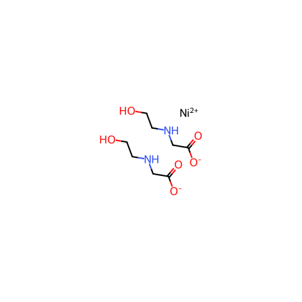 O=C([O-])CNCCO.O=C([O-])CNCCO.[Ni+2]